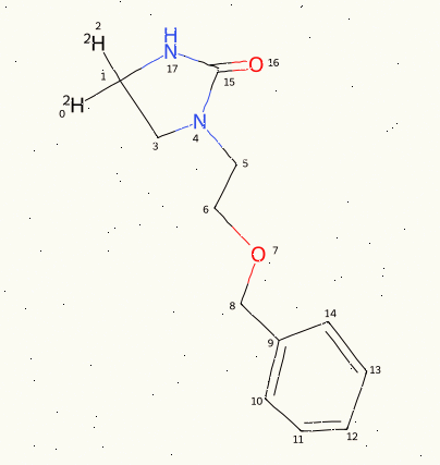 [2H]C1([2H])CN(CCOCc2ccccc2)C(=O)N1